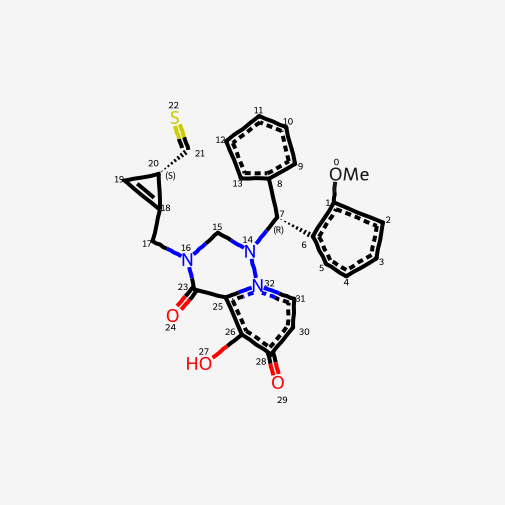 COc1ccccc1[C@@H](c1ccccc1)N1CN(CC2=C[C@@H]2C=S)C(=O)c2c(O)c(=O)ccn21